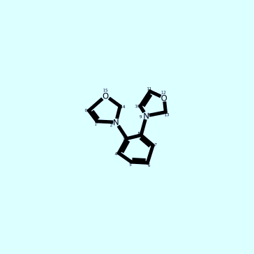 C1=CN(c2ccccc2N2C=COC2)CO1